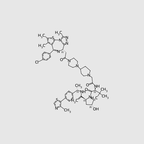 C=C(N[C@@H](C)c1ccc(-c2scnc2C)cc1)[C@@H]1C[C@@H](O)CN1C(=O)[C@@H](NC(=O)CN1CCC(N2CCN(C(=O)C[C@@H]3N=C(c4ccc(Cl)cc4)c4c(sc(C)c4C)-n4c(C)nnc43)CC2)CC1)C(C)(C)C